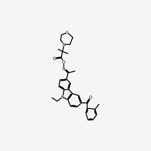 CCn1c2ccc(C(=O)c3ccccc3C)cc2c2cc(/C(C)=N/OC(=O)C(C)(C)N3CCSCC3)ccc21